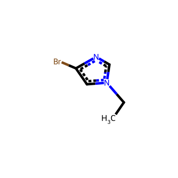 CCn1cnc(Br)c1